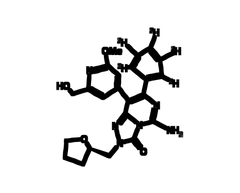 [2H]c1c([2H])c([2H])c(-c2nc(N)n3c(=O)n(C[C@H]4CCCO4)nc3c2-c2cc(CO)nc(OC)c2)c([2H])c1[2H]